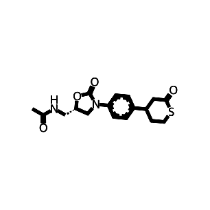 CC(=O)NC[C@H]1CN(c2ccc(C3CCSC(=O)C3)cc2)C(=O)O1